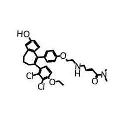 CCOc1ccc(C2=C(c3ccc(OCCNC/C=C/C(=O)N(C)C)cc3)c3ccc(O)cc3CCC2)c(Cl)c1Cl